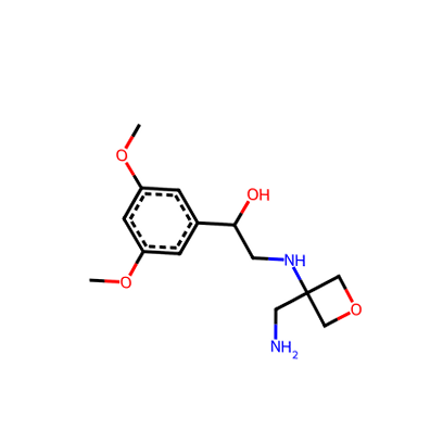 COc1cc(OC)cc(C(O)CNC2(CN)COC2)c1